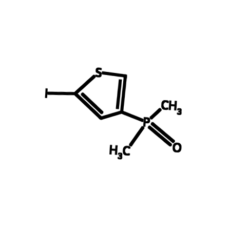 CP(C)(=O)c1csc(I)c1